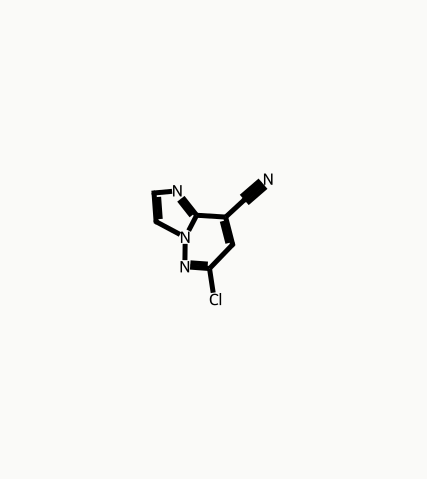 N#Cc1cc(Cl)nn2ccnc12